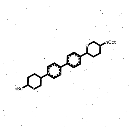 CCCCCCCCC1CCC(c2ccc(-c3ccc(C4CCC(CCCC)CC4)cc3)cc2)OC1